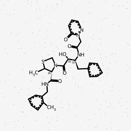 Cc1ccccc1CNC(=O)[C@@H]1C(C)SCN1C(=O)[C@@H](O)[C@H](Cc1ccccc1)NC(=O)Cn1ncccc1=O